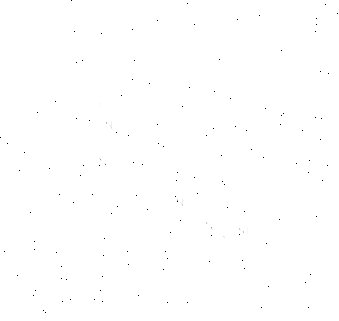 C=C(c1cc(CN2CCN(/C(C)=C/CC)CC2)c(C)cc1C)N1CCN(C(C)=N)CC1